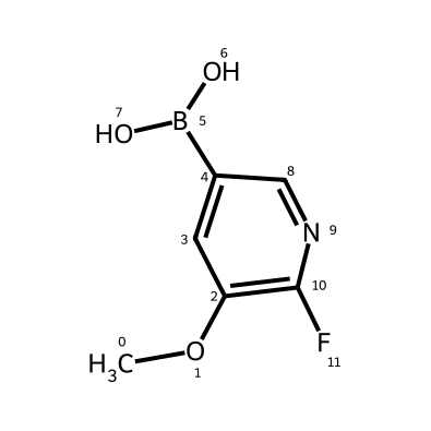 COc1cc(B(O)O)cnc1F